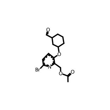 CC(=O)OCc1nc(Br)ccc1OC1CCCC(C=O)C1